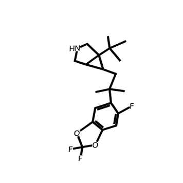 CC(C)(CC1C2CNCC21C(C)(C)C)c1cc2c(cc1F)OC(F)(F)O2